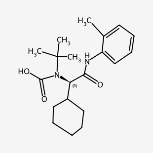 Cc1ccccc1NC(=O)[C@@H](C1CCCCC1)N(C(=O)O)C(C)(C)C